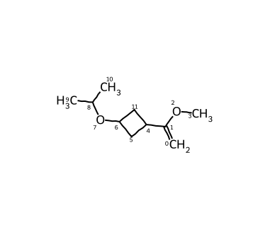 C=C(OC)C1CC(OC(C)C)C1